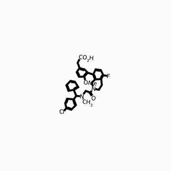 COc1ccc(CC(=O)O)cc1-c1ccc(F)c2c1CN(C(=O)CN(C)C(c1ccccc1)c1ccc(Cl)cc1)CC2